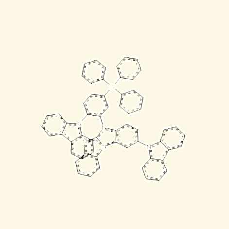 c1ccc([Si](c2ccccc2)(c2ccccc2)c2ccc(-n3c4ccccc4c4ccccc43)c(-n3c4ccc(-n5c6ccccc6c6ccccc65)cc4n4c5ccccc5nc34)c2)cc1